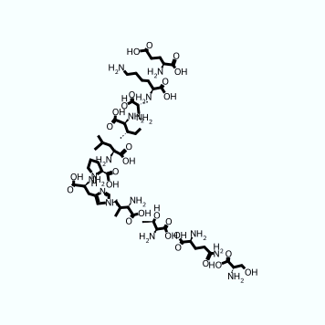 CC(C)C[C@H](N)C(=O)O.CC(C)[C@H](N)C(=O)O.CC[C@H](C)[C@H](N)C(=O)O.C[C@@H](O)[C@H](N)C(=O)O.C[C@H](N)C(=O)O.NC(=O)CC[C@H](N)C(=O)O.NCCCC[C@H](N)C(=O)O.N[C@@H](CCC(=O)O)C(=O)O.N[C@@H](CO)C(=O)O.N[C@@H](Cc1c[nH]cn1)C(=O)O.O=C(O)[C@@H]1CCCN1